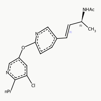 CCCc1ncc(Oc2ccc(/C=C/[C@H](C)NC(C)=O)cn2)cc1Cl